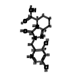 O=C(O)C1CCCc2nn(Cc3ncc(Cl)cc3Cl)c(=O)n21